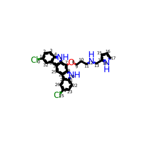 Clc1ccc2[nH]c3c(OCCCNCc4ccc[nH]4)c4[nH]c5ccc(Cl)cc5c4cc3c2c1